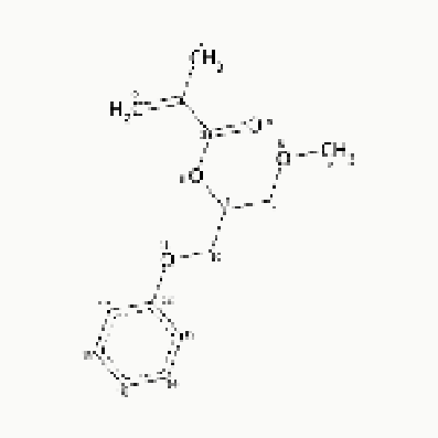 C=C(C)C(=O)OC(COC)COc1ccccc1